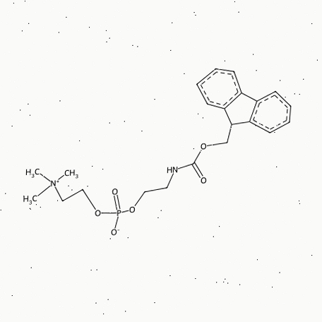 C[N+](C)(C)CCOP(=O)([O-])OCCNC(=O)OCC1c2ccccc2-c2ccccc21